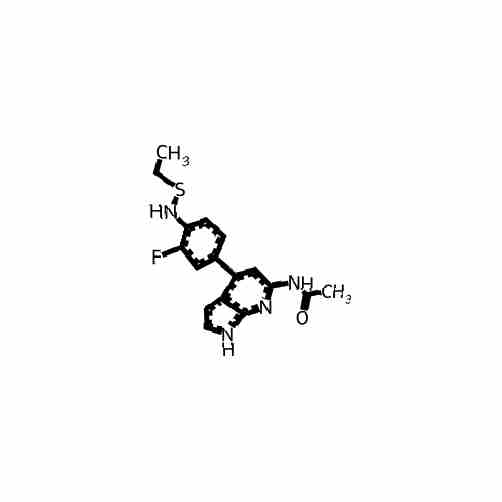 CCSNc1ccc(-c2cc(NC(C)=O)nc3[nH]ccc23)cc1F